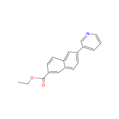 CCOC(=O)c1ccc2cc(-c3cccnc3)ccc2c1